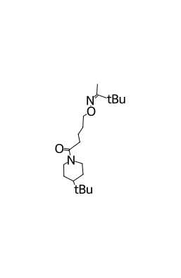 C/C(=N/OCCCCC(=O)N1CCC(C(C)(C)C)CC1)C(C)(C)C